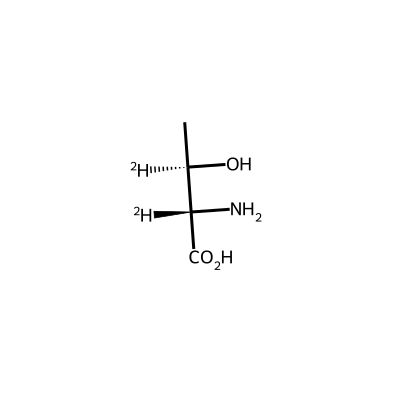 [2H][C@](C)(O)[C@]([2H])(N)C(=O)O